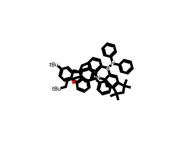 CC(C)(C)CCC(C)(C)c1ccc2c(c1)N2c1cc2c(cc1B(c1ccc3cc1N(c1ccccc1)c1cccc4c1C(C)(C3)c1cc(C(C)(C)C)ccc1-4)N(c1ccccc1)c1ccccc1)C(C)(C)CC2(C)C